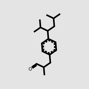 CC(C)CC(c1ccc(CC(C)C=O)cc1)C(C)C